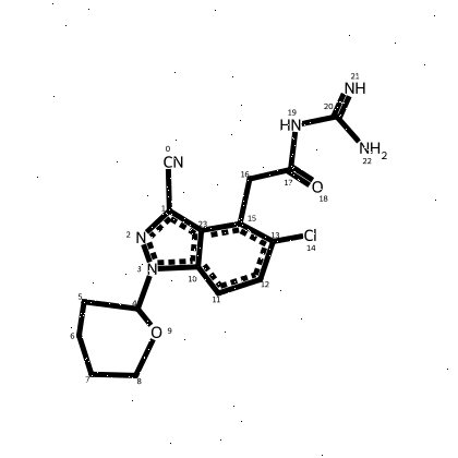 N#Cc1nn(C2CCCCO2)c2ccc(Cl)c(CC(=O)NC(=N)N)c12